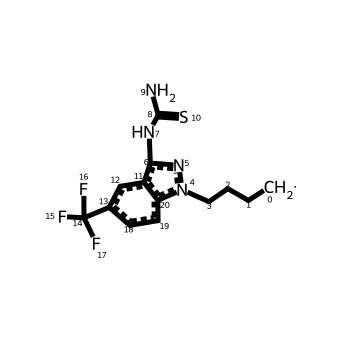 [CH2]CCCn1nc(NC(N)=S)c2cc(C(F)(F)F)ccc21